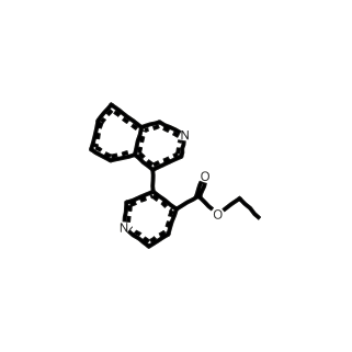 CCOC(=O)c1ccncc1-c1cncc2ccccc12